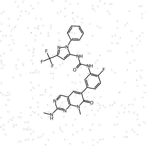 CNc1ncc2cc(-c3ccc(F)c(NC(=O)Nc4cc(C(F)(F)F)nn4-c4ccccc4)c3)c(=O)n(C)c2n1